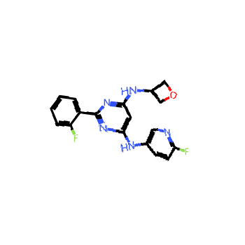 Fc1ccc(Nc2cc(NC3COC3)nc(-c3ccccc3F)n2)cn1